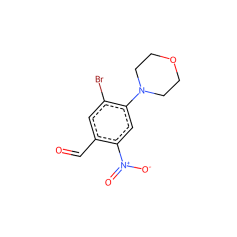 O=Cc1cc(Br)c(N2CCOCC2)cc1[N+](=O)[O-]